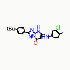 Cc1ccc(NCc2cc(=O)n3nc(-c4ccc(C(C)(C)C)cc4)nc3[nH]2)cc1Cl